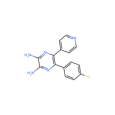 Nc1nc(-c2ccncc2)c(-c2ccc(F)cc2)nc1N